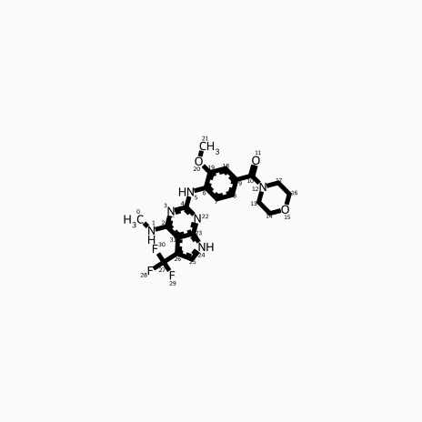 CNc1nc(Nc2ccc(C(=O)N3CCOCC3)cc2OC)nc2[nH]cc(C(F)(F)F)c12